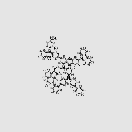 CC(C)(C)c1ccc2c(c1)Oc1cc(-c3cc4c5c(c3)N(c3ccc(-c6cccc7c6C(C)(C)CCC7(C)C)cc3)c3cc(-n6c7ccc(-c8ccccc8)cc7c7cc(-c8ccccc8)ccc76)ccc3B5c3ccc(-n5c6ccccc6c6ccccc65)cc3S4)cc3c1B2c1ccccc1O3